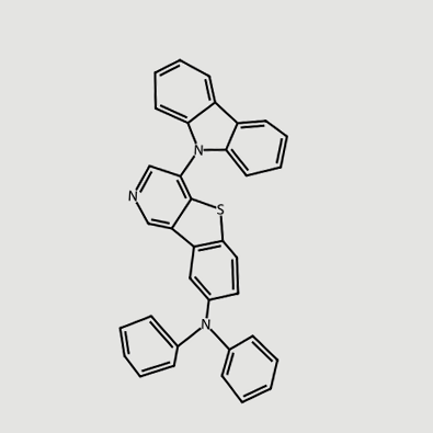 c1ccc(N(c2ccccc2)c2ccc3sc4c(-n5c6ccccc6c6ccccc65)cncc4c3c2)cc1